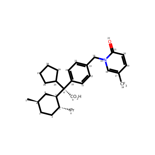 CC(C)[C@@H]1CC[C@@H](C)C[C@H]1[C@](C(=O)O)(c1ccc(Cn2cc(C(F)(F)F)ccc2=O)cc1)C1CCCC1